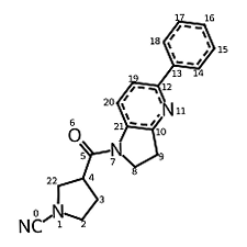 N#CN1CCC(C(=O)N2CCc3nc(-c4ccccc4)ccc32)C1